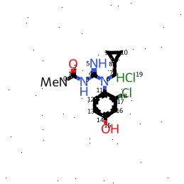 CNC(=O)NC(=N)N(CC1CC1)c1ccc(O)cc1Cl.Cl